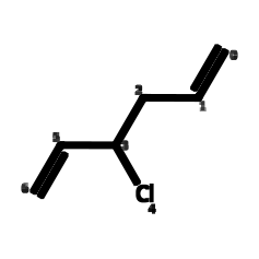 C=CCC(Cl)C=C